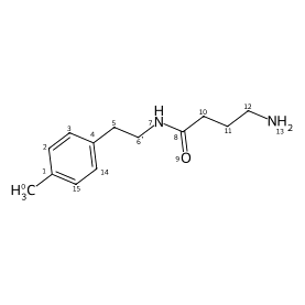 Cc1ccc(C[CH]NC(=O)CCCN)cc1